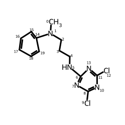 CN(CCCNc1nc(Cl)nc(Cl)n1)c1ccccc1